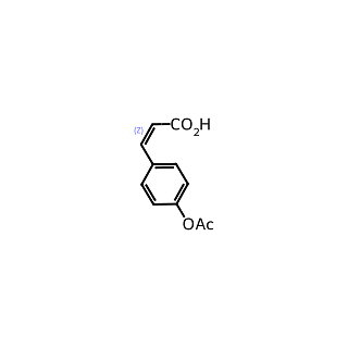 CC(=O)Oc1ccc(/C=C\C(=O)O)cc1